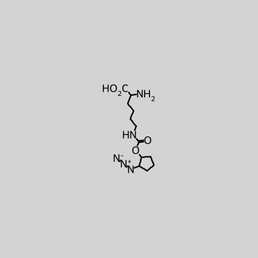 [N-]=[N+]=NC1CCCC1OC(=O)NCCCCC(N)C(=O)O